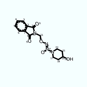 O=C1c2ccccc2C(=O)N1CON=[N+]([O-])N1CCC(O)CC1